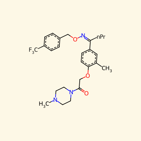 CCC/C(=N/OCc1ccc(C(F)(F)F)cc1)c1ccc(OCC(=O)N2CCN(C)CC2)c(C)c1